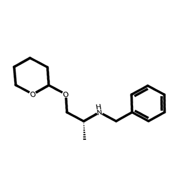 C[C@H](COC1CCCCO1)NCc1ccccc1